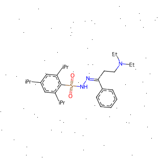 CCN(CC)CCC(=NNS(=O)(=O)c1c(C(C)C)cc(C(C)C)cc1C(C)C)c1ccccc1